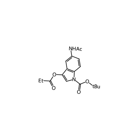 CCC(=O)Oc1cn(C(=O)OC(C)(C)C)c2ccc(NC(C)=O)cc12